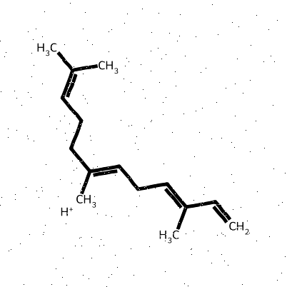 C=C/C(C)=C/C/C=C(\C)CCC=C(C)C.[H+]